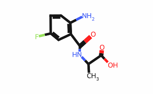 CC(NC(=O)c1cc(F)ccc1N)C(=O)O